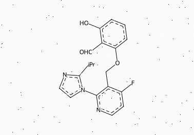 CC(C)c1nccn1-c1nccc(F)c1COc1cccc(O)c1C=O